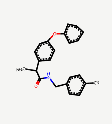 COC(C(=O)NCc1ccc(C#N)cc1)c1ccc(Oc2ccccc2)cc1